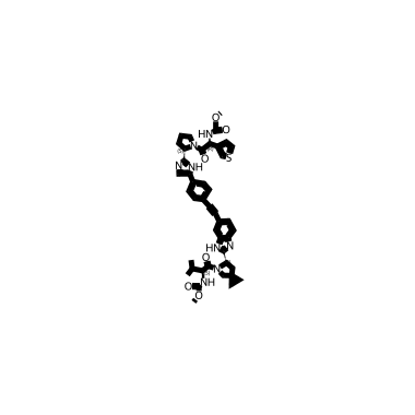 COC(=O)N[C@H](C(=O)N1CC2(CC2)C[C@H]1c1nc2ccc(C#Cc3ccc(-c4cnc([C@@H]5CCCN5C(=O)[C@H](NC(=O)OC)c5ccsc5)[nH]4)cc3)cc2[nH]1)C(C)C